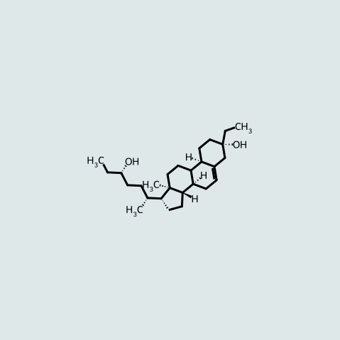 CC[C@H](O)CC[C@@H](C)[C@H]1CC[C@H]2[C@@H]3CC=C4C[C@](O)(CC)CC[C@@H]4C3CC[C@]12C